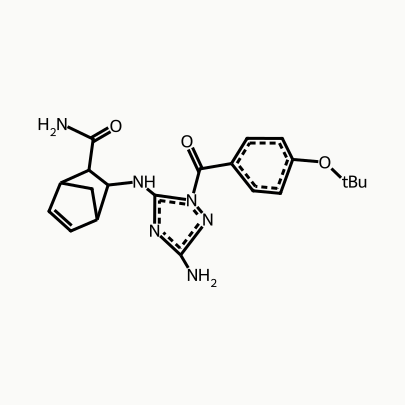 CC(C)(C)Oc1ccc(C(=O)n2nc(N)nc2NC2C3C=CC(C3)C2C(N)=O)cc1